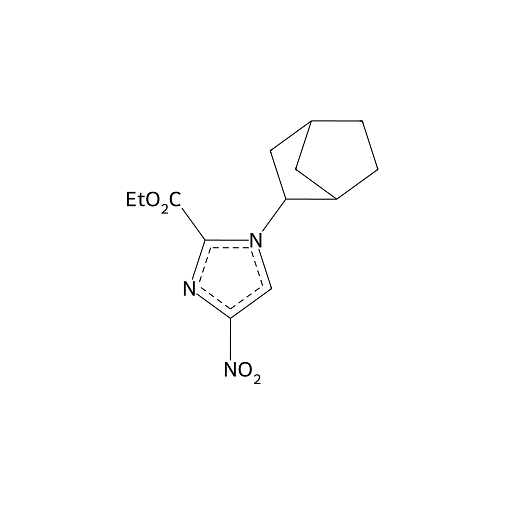 CCOC(=O)c1nc([N+](=O)[O-])cn1C1CC2CCC1C2